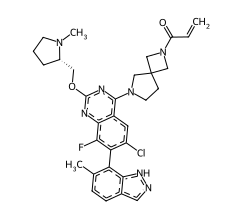 C=CC(=O)N1CC2(CCN(c3nc(OC[C@@H]4CCCN4C)nc4c(F)c(-c5c(C)ccc6cn[nH]c56)c(Cl)cc34)C2)C1